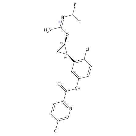 N/C(=N/C(F)F)O[C@@H]1C[C@@H]1c1cc(NC(=O)c2ccc(Cl)cn2)ccc1Cl